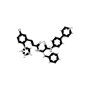 O=C(/C=C/c1cc(Cl)ccc1-n1cnnn1)N[C@@H](Cc1ccccc1)C(=O)Nc1ccc(-c2ccncc2)cc1